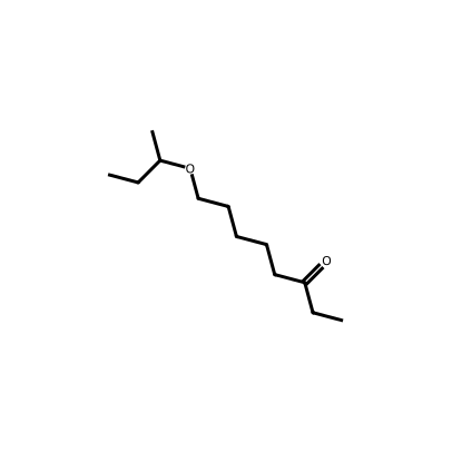 CCC(=O)CCCCCOC(C)CC